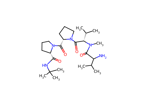 CC(C)C(N)C(=O)N(C)[C@H](C(=O)N1CCC[C@H]1C(=O)N1CCC[C@H]1C(=O)NC(C)(C)C)C(C)C